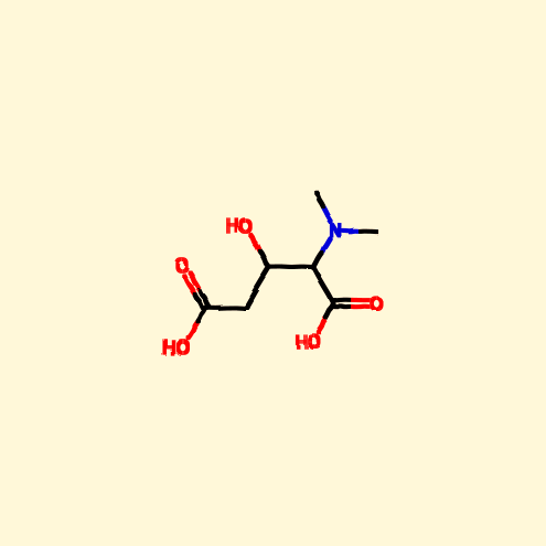 CN(C)C(C(=O)O)C(O)CC(=O)O